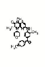 Cc1cc(C(=O)N2CCN(C)CC2)ccc1Nc1ccc2c(n1)N(C1CCOCC1)[C@H](C)C(=O)N2C